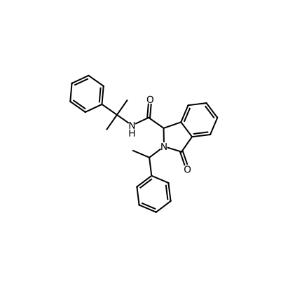 CC(c1ccccc1)N1C(=O)c2ccccc2C1C(=O)NC(C)(C)c1ccccc1